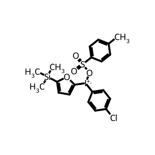 Cc1ccc(S(=O)(=O)O[I+](c2ccc(Cl)cc2)c2ccc([Si](C)(C)C)o2)cc1